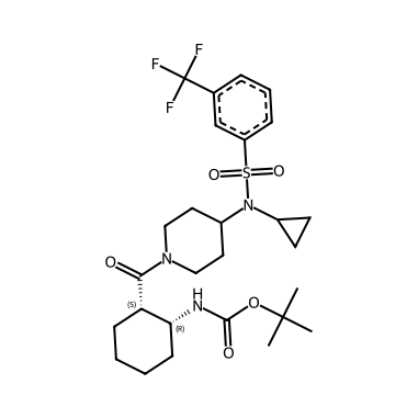 CC(C)(C)OC(=O)N[C@@H]1CCCC[C@@H]1C(=O)N1CCC(N(C2CC2)S(=O)(=O)c2cccc(C(F)(F)F)c2)CC1